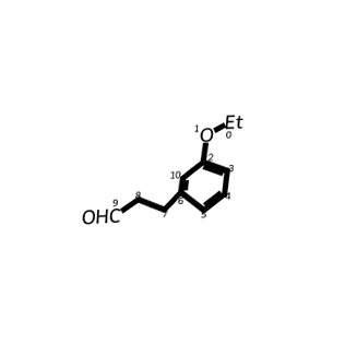 CCOc1cccc(CCC=O)c1